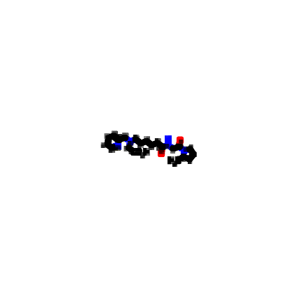 BC1CCCN1C(=O)CNC(=O)CCCCCN(CC(=O)O)Cc1ccccn1